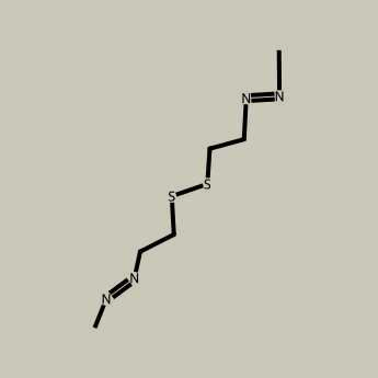 C/N=N/CCSSCC/N=N/C